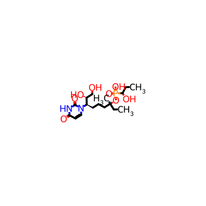 CCC(O)P(=O)(O)OC(C)(CC)CCC[C@H]([C@H](O)CO)n1ccc(=O)[nH]c1=O